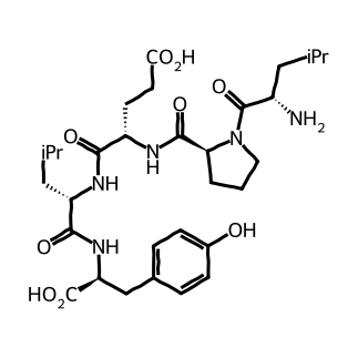 CC(C)C[C@H](NC(=O)[C@H](CCC(=O)O)NC(=O)[C@@H]1CCCN1C(=O)[C@@H](N)CC(C)C)C(=O)N[C@@H](Cc1ccc(O)cc1)C(=O)O